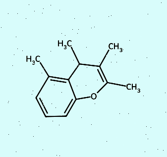 CC1=C(C)C(C)c2c(C)cccc2O1